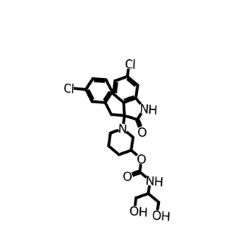 O=C(NC(CO)CO)OC1CCCN(C2(Cc3cccc(Cl)c3)C(=O)Nc3cc(Cl)ccc32)C1